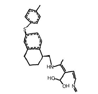 C=N/C=C\C(=C(/C)NC[C@H]1CCCc2cc(Sc3ccc(C)cc3)ccc21)C(O)O